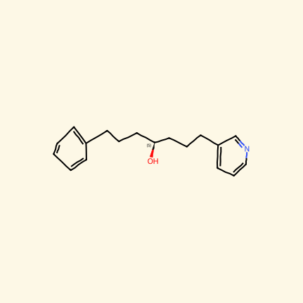 O[C@@H](CCCc1ccccc1)CCCc1cccnc1